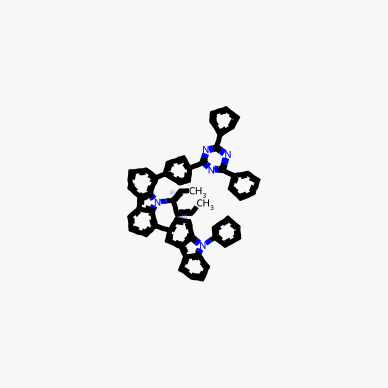 C/C=C\C(=C/C)n1c2c(-c3ccc(-c4nc(-c5ccccc5)nc(-c5ccccc5)n4)cc3)cccc2c2cccc(-c3ccc4c(c3)c3ccccc3n4-c3ccccc3)c21